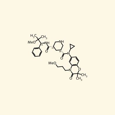 COCCCN1C(=O)C(C)(C)Oc2ccc(N(C(=O)[C@H]3CNC[C@@H](C(=O)N[C@@H](c4ccccc4)C(C)(C)OC)C3)C3CC3)cc21